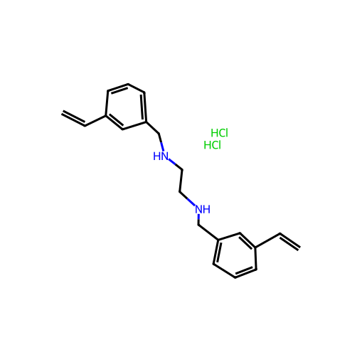 C=Cc1cccc(CNCCNCc2cccc(C=C)c2)c1.Cl.Cl